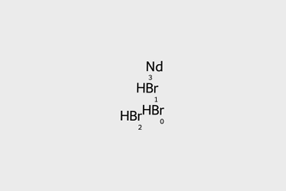 Br.Br.Br.[Nd]